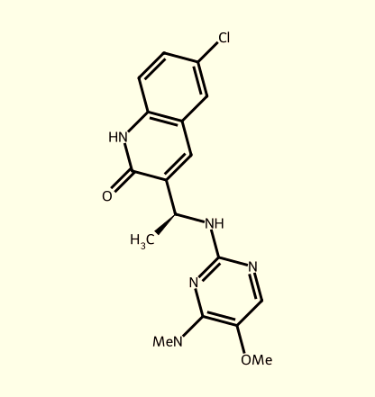 CNc1nc(N[C@@H](C)c2cc3cc(Cl)ccc3[nH]c2=O)ncc1OC